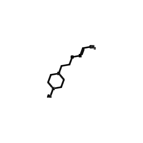 C/C=N/OCCN1CCN(C(C)=O)CC1